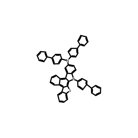 c1ccc(-c2ccc(N(c3ccc(-c4ccccc4)cc3)c3ccc4c(c3)c3c5ccccc5c5c6ccccc6sc5c3n4-c3ccc(-c4ccccc4)cc3)cc2)cc1